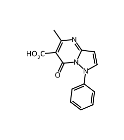 Cc1nc2ccn(-c3ccccc3)n2c(=O)c1C(=O)O